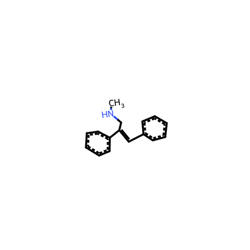 CNCC(=Cc1ccccc1)c1ccccc1